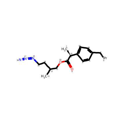 CC(C)Cc1ccc([C@H](C)C(=O)OCC(C)CCN=[N+]=[N-])cc1